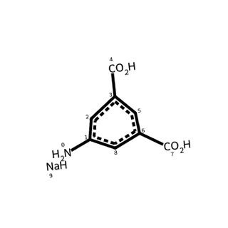 Nc1cc(C(=O)O)cc(C(=O)O)c1.[NaH]